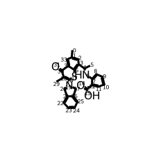 Cc1cc(C(C)Nc2ccccc2C(=O)O)c2sc(N3Cc4ccccc4C3)c(C)c(=O)c2c1